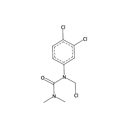 CN(C)C(=O)N(CCl)c1ccc(Cl)c(Cl)c1